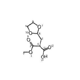 COC(=O)C(CC1OCCO1)C(=O)O